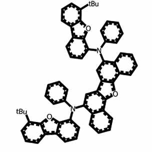 CC(C)(C)c1cccc2c1oc1c(N(c3ccccc3)c3cc4c5cc(N(c6ccccc6)c6cccc7c6oc6c(C(C)(C)C)cccc67)c6ccccc6c5oc4c4ccccc34)cccc12